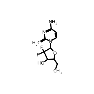 C=C1N=C(N)C=CN1C1OC(CC)C(O)C1(F)F